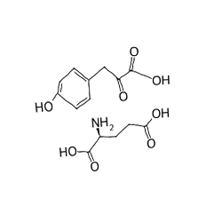 N[C@@H](CCC(=O)O)C(=O)O.O=C(O)C(=O)Cc1ccc(O)cc1